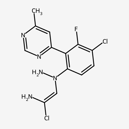 Cc1cc(-c2c(N(N)/C=C(\N)Cl)ccc(Cl)c2F)ncn1